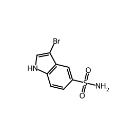 NS(=O)(=O)c1ccc2[nH]cc(Br)c2c1